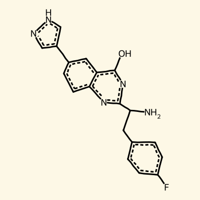 NC(Cc1ccc(F)cc1)c1nc(O)c2cc(-c3cn[nH]c3)ccc2n1